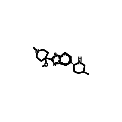 COC1(c2nc3cc([C@H]4CC[C@H](C)CN4)ccc3s2)CCN(C)CC1